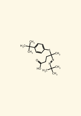 CC(C)(C)N=NC(C)(CCC(=O)O)Sc1ccc(C(C)(C)C)cc1